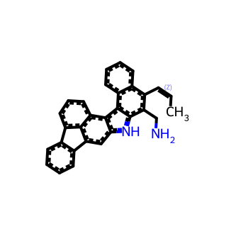 C/C=C\c1c(CN)c2[nH]c3cc4c5c(cccc5c3c2c2ccccc12)-c1ccccc1-4